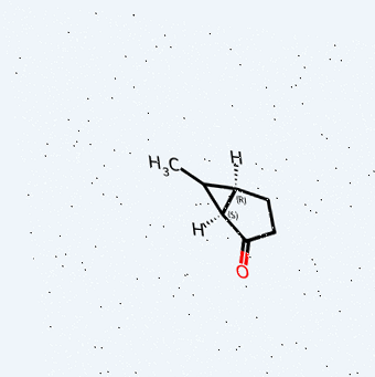 CC1[C@H]2CCC(=O)[C@@H]12